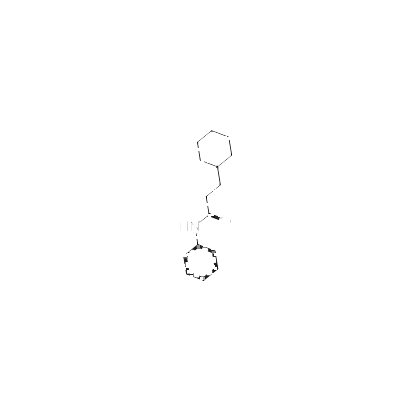 O=C(CCC1CCCCC1)Nc1ccccc1